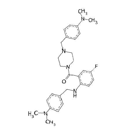 CN(C)c1ccc(CNc2ccc(F)cc2C(=O)N2CCN(Cc3ccc(N(C)C)cc3)CC2)cc1